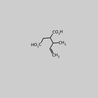 C=CC(C)C(CC(=O)O)C(=O)O